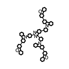 c1cc(-c2ccc3nc(-c4ccc(-n5c6ccccc6c6cc(-c7ccc8oc9ccccc9c8c7)ccc65)cc4)nc(-c4cccc(-n5c6ccccc6c6cc(-c7ccc8oc9ccccc9c8c7)ccc65)c4)c3c2)cc(-n2c3ccccc3c3cc(-c4ccc5oc6ccccc6c5c4)ccc32)c1